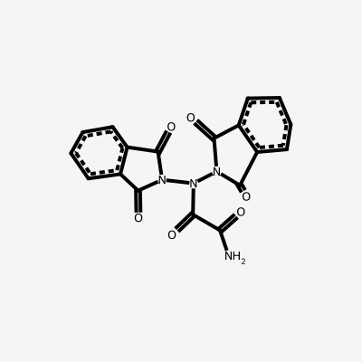 NC(=O)C(=O)N(N1C(=O)c2ccccc2C1=O)N1C(=O)c2ccccc2C1=O